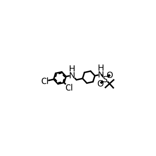 CC(C)(C)S(=O)(=O)NC1CCC(CNc2ccc(Cl)cc2Cl)CC1